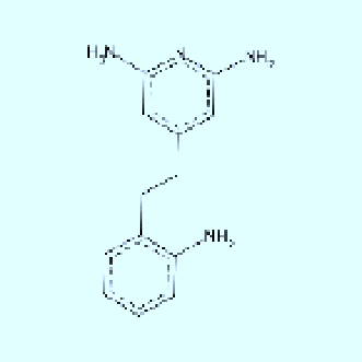 Nc1cc(CCc2ccccc2N)cc(N)n1